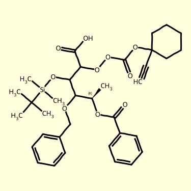 C#CC1(OC(=O)OOC(C(=O)O)C(O[Si](C)(C)C(C)(C)C)C(OCc2ccccc2)[C@@H](C)OC(=O)c2ccccc2)CCCCC1